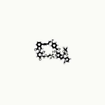 CN(CCC#Cc1cccc2c1CN(C1CCC(=O)N(COCC[Si](C)(C)C)C1=O)C2=O)c1ccc(C(=O)Nc2cc3c(cn2)cc([C@H]2CCCN2C)n3C(=O)OC(C)(C)C)cc1